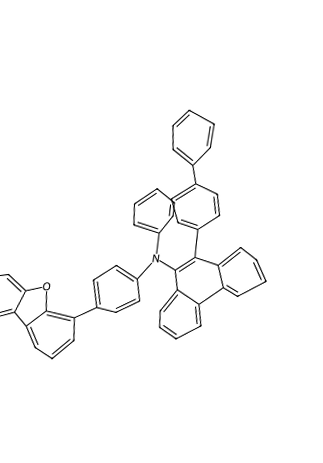 c1ccc(-c2ccc(-c3c(N(c4ccccc4)c4ccc(-c5cccc6c5oc5ccccc56)cc4)c4ccccc4c4ccccc34)cc2)cc1